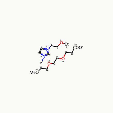 CCOCC[n+]1ccn(C)c1.COCCOCCOCCC(=O)[O-]